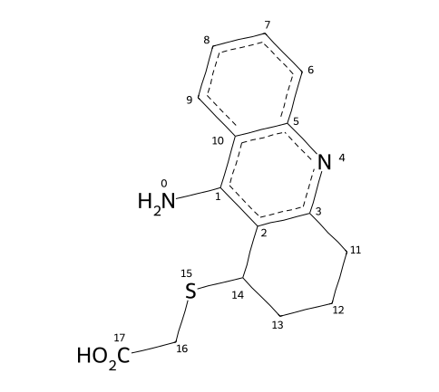 Nc1c2c(nc3ccccc13)CCCC2SCC(=O)O